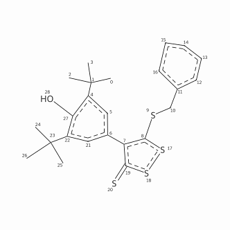 CC(C)(C)c1cc(-c2c(SCc3ccccc3)ssc2=S)cc(C(C)(C)C)c1O